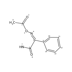 CC(=O)O/N=C(\C([NH])=O)c1ccccc1